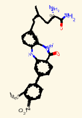 COc1cc(-c2ccc3c(c2)Nc2ccc(CC(C)C[C@H](N)C(N)=O)cc2NC3=O)ccc1[N+](=O)[O-]